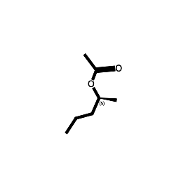 CCC[C@H](C)OC(C)=O